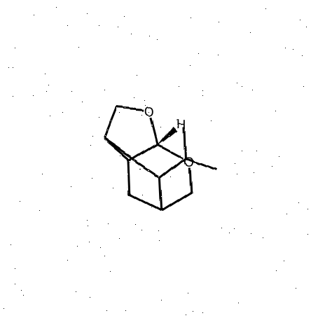 CC(C)C1C2CO[C@H]3OCC1C3C2